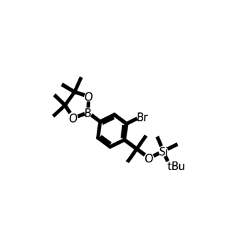 CC(C)(O[Si](C)(C)C(C)(C)C)c1ccc(B2OC(C)(C)C(C)(C)O2)cc1Br